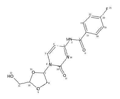 O=C(Nc1ccn(C2COC(CO)O2)c(=O)n1)c1ccc(F)cc1